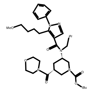 COCCCCc1c(C(=O)N(CC(C)C)[C@H]2C[C@@H](C(=O)N3CCOCC3)CN(C(=O)OC(C)(C)C)C2)cnn1-c1ccccc1